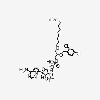 CCCCCCCCCCCCCCCCCCOC[C@H](COP(=O)(O)OC[C@H]1O[C@@](C)(c2ccc3c(N)ncnn23)[C@@H]2OC(C)(C)O[C@@H]21)OCc1ccc(Cl)cc1Cl